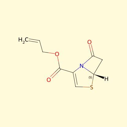 C=CCOC(=O)C1=CS[C@H]2CC(=O)N12